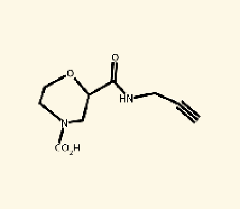 C#CCNC(=O)C1CN(C(=O)O)CCO1